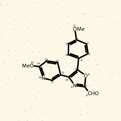 COc1ccc(-c2oc(C=O)nc2-c2ccc(OC)nc2)cc1